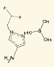 Nc1cnn(CC(F)F)c1.OB(O)O